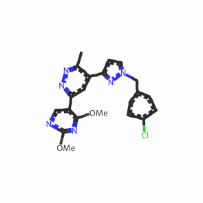 COc1ncc(-c2cc(-c3ccn(Cc4ccc(Cl)cc4)n3)c(C)nn2)c(OC)n1